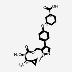 C[C@H](C1CC1)N(C)C(=O)OCc1c(-c2ccc(O[C@H]3CCC[C@H](C(=O)O)C3)cc2)cnn1C